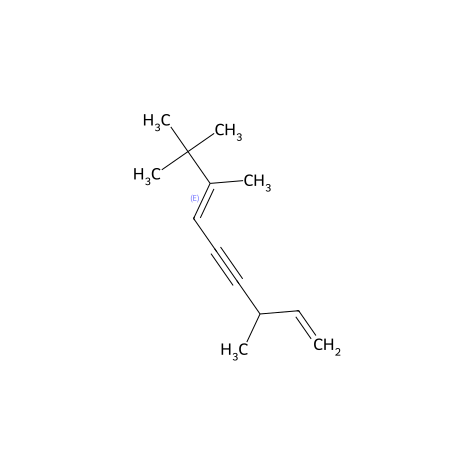 C=CC(C)C#C/C=C(\C)C(C)(C)C